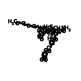 COCCOCCOCCOCCC(=O)NCC[C@H](NC(=O)CN1C(=O)C=CC1=O)C(=O)N[C@H](C(=O)N[C@@H](CCCNC(N)=O)C(=O)Nc1ccc(COC(=O)Oc2ccc([N+](=O)[O-])cc2)cc1)C(C)C